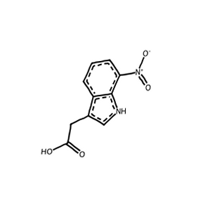 O=C(O)Cc1c[nH]c2c([N+](=O)[O-])cccc12